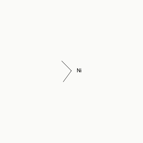 CCC.[Ni]